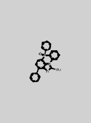 CC(C)(C)c1nc2c(-c3ccccc3)ccc3c2n1-c1ccccc1P3(=O)c1ccccc1